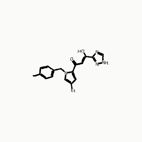 CCc1cc(C(=O)C=C(O)c2nc[nH]n2)n(Cc2ccc(C)cc2)c1